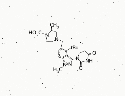 C[C@H]1CN(Cc2ccc3c(c(N4CCC(=O)NC4=O)nn3C)c2C(C)(C)C)CCN1C(=O)O